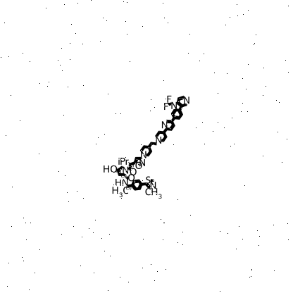 Cc1ncsc1-c1ccc([C@H](C)NC(=O)[C@@H]2C[C@@H](O)CN2C(=O)[C@@H](c2cc(N3CCC(CCN4CCC(c5ccc(-c6ccc7c8cnccc8n(C(F)F)c7c6)cn5)CC4)CC3)no2)C(C)C)cc1